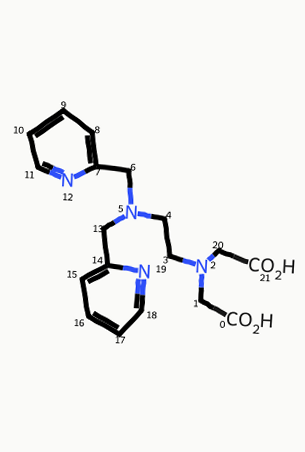 O=C(O)CN(CCN(Cc1ccccn1)Cc1ccccn1)CC(=O)O